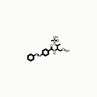 CC(OP(C)(=O)O)C(COS)NC(=O)c1ccc(/N=N/c2ccccc2)cc1